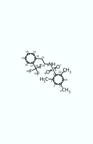 Cc1cc(C)c(S(=O)(=O)NCCc2ccccc2C(F)(F)F)c(C)c1